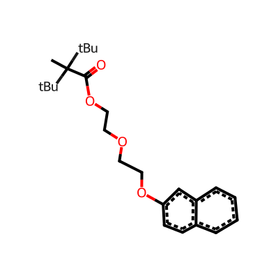 CC(C)(C)C(C)(C(=O)OCCOCCOc1ccc2ccccc2c1)C(C)(C)C